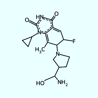 CC1=c2c(c(=O)[nH]c(=O)n2C2CC2)=CC(F)C1N1CCC(C(N)CO)C1